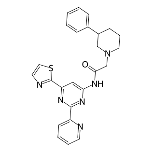 O=C(CN1CCCC(c2ccccc2)C1)Nc1cc(-c2nccs2)nc(-c2ccccn2)n1